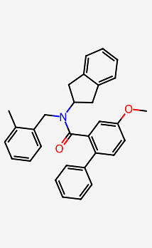 COc1ccc(-c2ccccc2)c(C(=O)N(Cc2ccccc2C)C2Cc3ccccc3C2)c1